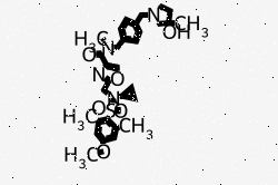 COc1cc(C)c(S(=O)(=O)N(Cc2nc(C(=O)N(C)Cc3ccc(CN4CCC(C)(O)C4)cc3)co2)C2CC2)c(C)c1